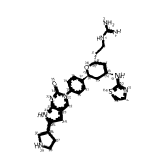 N=C(N)NCC[C@@H]1C[C@H](Nc2nccs2)C[C@@H](c2ccc(-n3cc4cc(C5CCNC5)[nH]c4nc3=O)cc2)O1